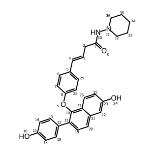 O=C(CC=Cc1ccc(Oc2c(-c3ccc(O)cc3)ccc3cc(O)ccc23)cc1)NN1CCCCC1